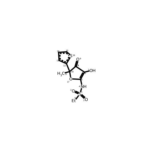 CCS(=O)(=O)NC1=C(O)C(=O)C(C)(c2cccs2)O1